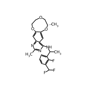 Cc1nc(NC(C)c2cccc(C(F)F)c2F)c2cc3c(cc2n1)OCCOC[C@H](C)O3